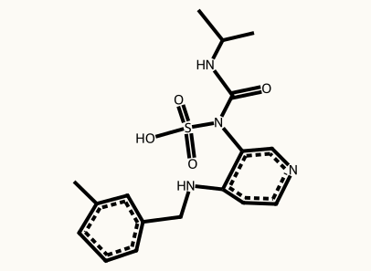 Cc1cccc(CNc2ccncc2N(C(=O)NC(C)C)S(=O)(=O)O)c1